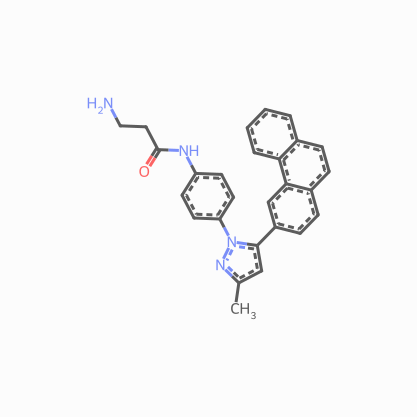 Cc1cc(-c2ccc3ccc4ccccc4c3c2)n(-c2ccc(NC(=O)CCN)cc2)n1